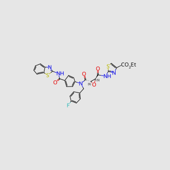 CCOC(=O)c1csc(NC(=O)[C@H]2O[C@@H]2C(=O)N(Cc2ccc(F)cc2)c2ccc(C(=O)Nc3nc4ccccc4s3)cc2)n1